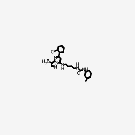 Bc1cnn2c(NCCCCNC(=O)NC3=CC(C)=CCC3)cc(C3CC=CC=C3Cl)nc12